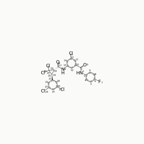 O=C(Nc1ccc(F)cc1)c1cc(Cl)cc(NC(=O)[C@@H]2[C@@H](c3cc(Cl)cc(Cl)c3)C2(Cl)Cl)c1